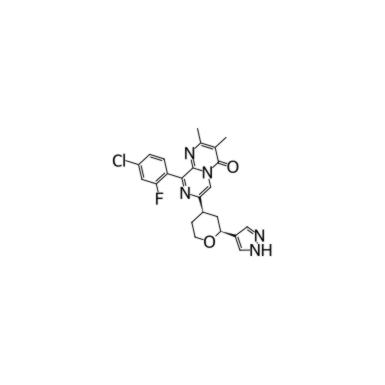 Cc1nc2c(-c3ccc(Cl)cc3F)nc([C@@H]3CCO[C@H](c4cn[nH]c4)C3)cn2c(=O)c1C